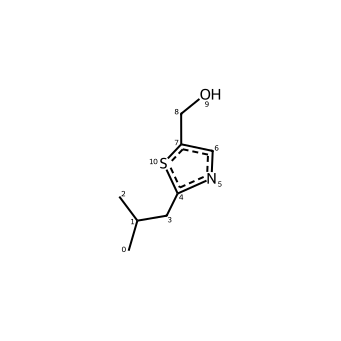 CC(C)Cc1ncc(CO)s1